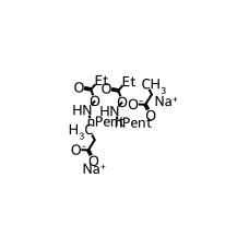 CCC(=O)[O-].CCC(=O)[O-].CCCCCNOC(=O)CC.CCCCCNOC(=O)CC.[Na+].[Na+]